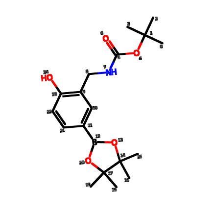 CC(C)(C)OC(=O)NCc1cc(B2OC(C)(C)C(C)(C)O2)ccc1O